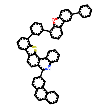 c1ccc(-c2ccc3oc4c(-c5cccc(-c6cccc7c6sc6c7ccc7c(-c8ccc9ccc%10ccccc%10c9c8)nc8ccccc8c76)c5)cccc4c3c2)cc1